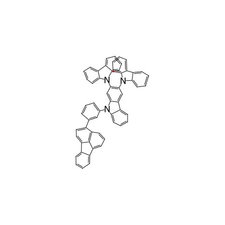 c1cc(-c2ccc3c4c(cccc24)-c2ccccc2-3)cc(-n2c3ccccc3c3cc(-n4c5ccccc5c5ccccc54)c(-n4c5ccccc5c5ccccc54)cc32)c1